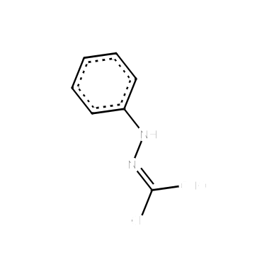 O=C/C(Cl)=N\Nc1ccccc1